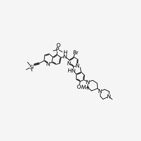 COc1cc(Nc2ncc(Br)c(Nc3ccc4nc(C#C[Si](C)(C)C)ccc4c3P(C)(C)=O)n2)c(C)cc1N1CCC(N2CCN(C)CC2)CC1